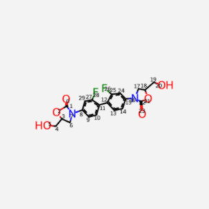 O=C1OC(CO)CN1c1ccc(-c2ccc(N3CC(CO)OC3=O)cc2F)c(F)c1